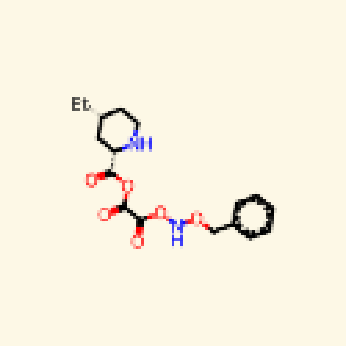 CC[C@@H]1CCN[C@H](C(=O)OC(=O)C(=O)ONOCc2ccccc2)C1